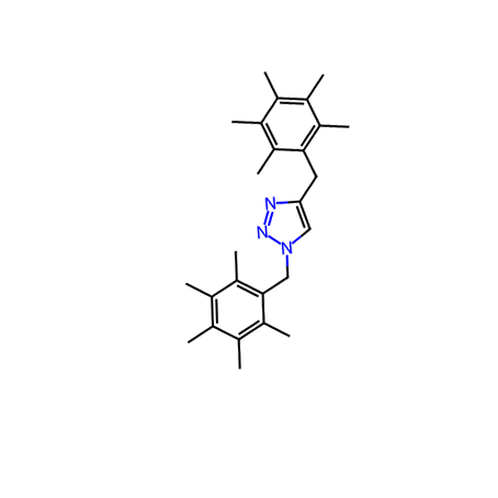 Cc1c(C)c(C)c(Cc2cn(Cc3c(C)c(C)c(C)c(C)c3C)nn2)c(C)c1C